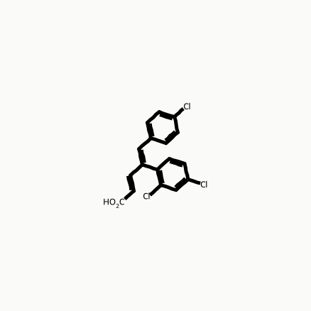 O=C(O)/C=C/C(=C/c1ccc(Cl)cc1)c1ccc(Cl)cc1Cl